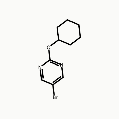 Brc1cnc(OC2CCCCC2)nc1